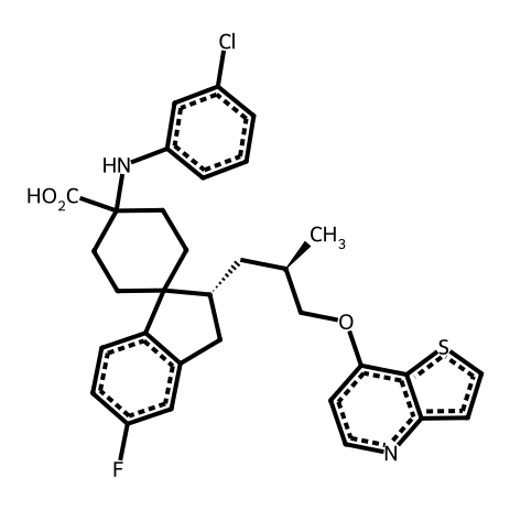 C[C@@H](COc1ccnc2ccsc12)C[C@@H]1Cc2cc(F)ccc2C12CCC(Nc1cccc(Cl)c1)(C(=O)O)CC2